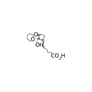 O=C(O)CCC/C=C\C[C@@H]1CC[C@H](OC2CCCCO2)[C@H]1CO